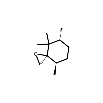 C[C@@H]1CC[C@@H](C)[C@]2(CO2)C1(C)C